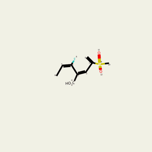 C=C(/C=C(C(=O)O)\C(F)=C/C)S(C)(=O)=O